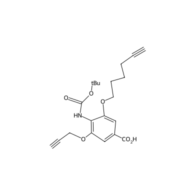 C#CCCCCOc1cc(C(=O)O)cc(OCC#C)c1NC(=O)OC(C)(C)C